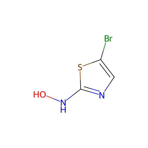 ONc1ncc(Br)s1